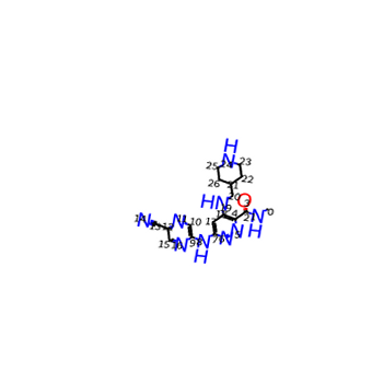 CNC(=O)c1nnc(Nc2cnc(C#N)cn2)cc1NCC1CCNCC1